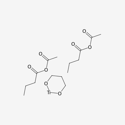 C1C[O][Ti][O]C1.CCCC(=O)OC(C)=O.CCCC(=O)OC(C)=O